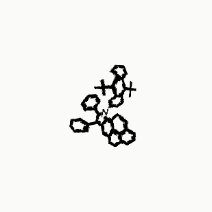 CC(C)(C)c1c2ccccc2c(C(C)(C)C)c2cc(-n3c(-c4ccccc4)c(-c4ccccc4)c4cc5ccc6cccc7ccc(c5c67)c43)ccc12